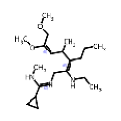 CCC/C(=C(/C/N=C(\NC)C1CC1)NCC)C(C)/C=C(\COC)OC